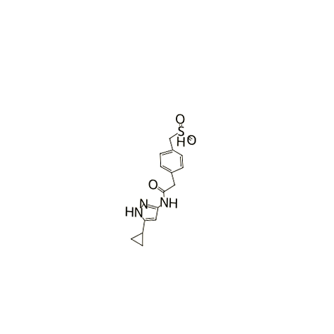 O=C(Cc1ccc(C[SH](=O)=O)cc1)Nc1cc(C2CC2)[nH]n1